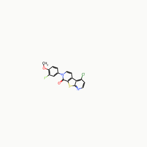 COc1ccc(-n2ccc3c(sc4nccc(Cl)c43)c2=O)cc1F